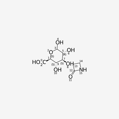 O=C(O)[C@H]1OC(O)[C@H](O)[C@@H](O)[C@@H]1O.O=C1CCN1